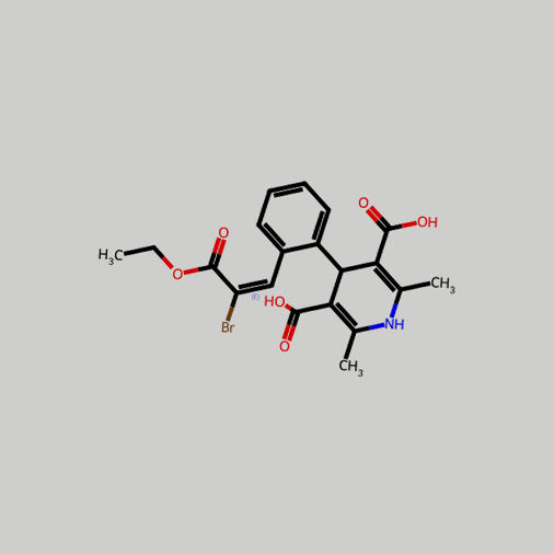 CCOC(=O)/C(Br)=C\c1ccccc1C1C(C(=O)O)=C(C)NC(C)=C1C(=O)O